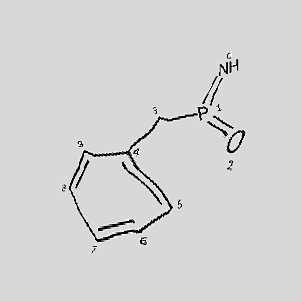 N=P(=O)Cc1ccccc1